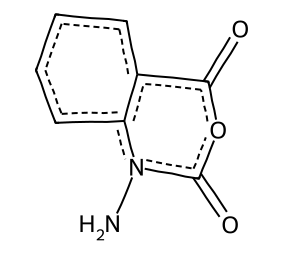 Nn1c(=O)oc(=O)c2ccccc21